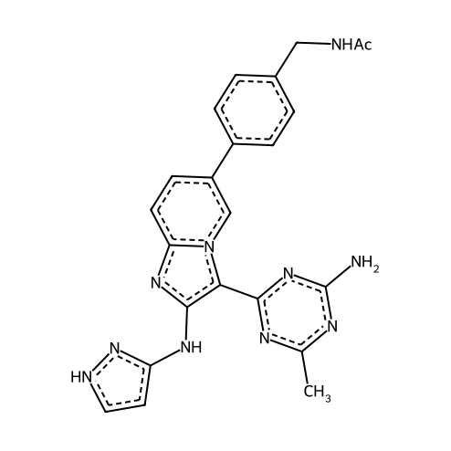 CC(=O)NCc1ccc(-c2ccc3nc(Nc4cc[nH]n4)c(-c4nc(C)nc(N)n4)n3c2)cc1